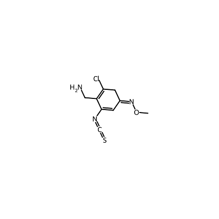 CON=C1C=C(N=C=S)C(CN)=C(Cl)C1